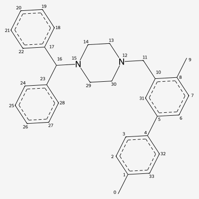 Cc1ccc(-c2ccc(C)c(CN3CCN(C(c4ccccc4)c4ccccc4)CC3)c2)cc1